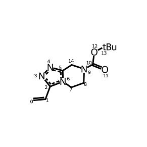 C=Cc1nnc2n1CCN(C(=O)OC(C)(C)C)C2